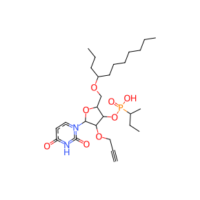 C#CCOC1C(OP(=O)(O)C(C)CC)C(COC(CCC)CCCCCCC)OC1n1ccc(=O)[nH]c1=O